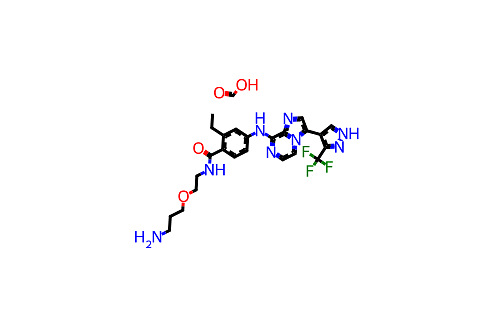 CCc1cc(Nc2nccn3c(-c4c[nH]nc4C(F)(F)F)cnc23)ccc1C(=O)NCCOCCCN.O=CO